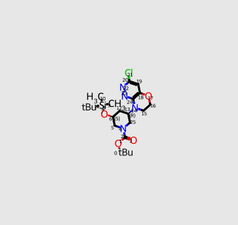 CC(C)(C)OC(=O)N1C[C@@H](O[Si](C)(C)C(C)(C)C)C[C@@H](N2CCOc3cc(Cl)nnc32)C1